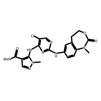 CNC(=O)c1cnn(C)c1Nc1nc(Nc2ccc3c(c2)CCOC(=O)N3C)ncc1Cl